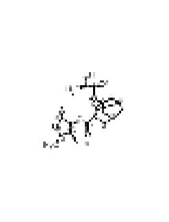 C=C(C)C(=O)OC12CC3CC(C1)CC(C(=O)OC1=C(C)C(C)OC1=O)(C3)C2